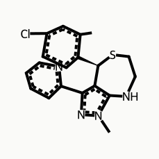 Cc1cc(Cl)ccc1[C@H]1SCCNc2c1c(-c1ccccn1)nn2C